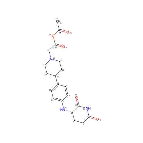 O=C1CC[C@H](Nc2ccc(C3CCN(CC(=O)OC(=O)C(F)(F)F)CC3)cc2)C(=O)N1